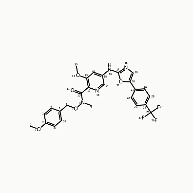 COc1ccc(CON(C)C(=O)c2ncc(Nc3ncc(-c4ccc(C(F)(F)F)cc4)o3)cc2OC)cc1